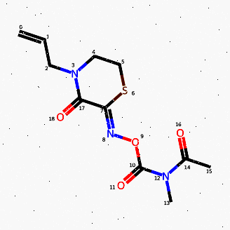 C=CCN1CCSC(=NOC(=O)N(C)C(C)=O)C1=O